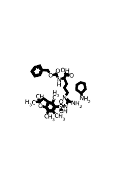 Cc1c(C)c(S(=O)(=O)NC(N)=NCCCC(NC(=O)OCc2ccccc2)C(=O)O)c(C)c2c1OC(C)(C)C2.NC1CCCCC1